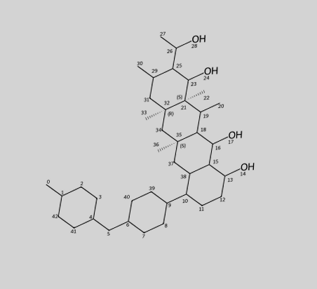 CC1CCC(CC2CCC(C3CCC(O)C4C(O)C5C(C)[C@]6(C)C(O)C(C(C)O)C(C)C[C@]6(C)C[C@]5(C)CC34)CC2)CC1